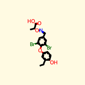 CCc1cc(Oc2c(Br)cc(/C=N\OC(C)C(=O)O)cc2Br)ccc1O